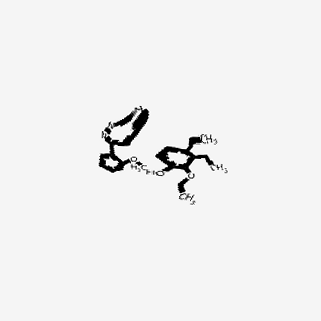 CCOc1c(O)ccc(CC)c1CC.COc1ccccc1-c1ccnnn1